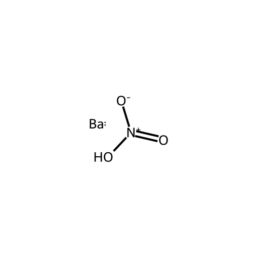 O=[N+]([O-])O.[Ba]